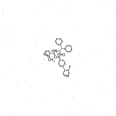 Cn1nccc1C(=O)N[C@H](C(=O)Nc1ccc(-c2ccncc2F)cc1)C(c1ccccc1)c1ccccc1